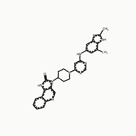 Cc1nc2cc(Nc3cc(N4CCC(n5c(=O)[nH]c6c7ccccc7ncc65)CC4)ncn3)cc(C)c2[nH]1